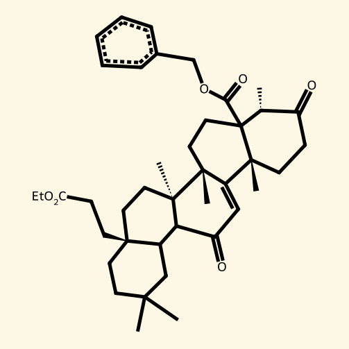 CCOC(=O)CC[C@]12CCC(C)(C)CC1C1C(=O)C=C3[C@@]4(C)CCC(=O)[C@@H](C)C4(C(=O)OCc4ccccc4)CC[C@@]3(C)[C@]1(C)CC2